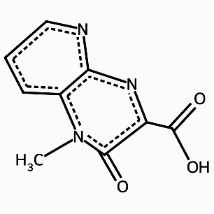 Cn1c(=O)c(C(=O)O)nc2ncccc21